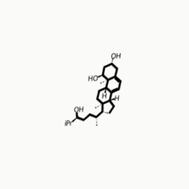 CC(C)[C@@H](O)CC[C@@H](C)[C@H]1CC[C@H]2C3=CC=C4C[C@@H](O)C[C@H](O)[C@]4(C)[C@H]3CC[C@]12C